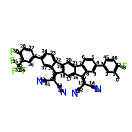 Cc1cc(-c2ccc3c(c2)C(=C(C#N)C#N)c2cc4c(cc2-3)-c2ccc(-c3ccc(F)c(C(F)(F)F)c3)cc2C4=C(C#N)C#N)ccc1F